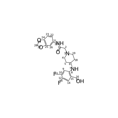 O=C(CN1CCC(Nc2cc(F)c(F)cc2CO)CC1)Nc1ccc2c(c1)OCO2